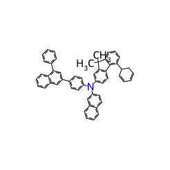 CC1(C)c2cc(N(c3ccc(-c4cc(-c5ccccc5)c5ccccc5c4)cc3)c3ccc4ccccc4c3)ccc2-c2c(C3C=CC=CC3)cccc21